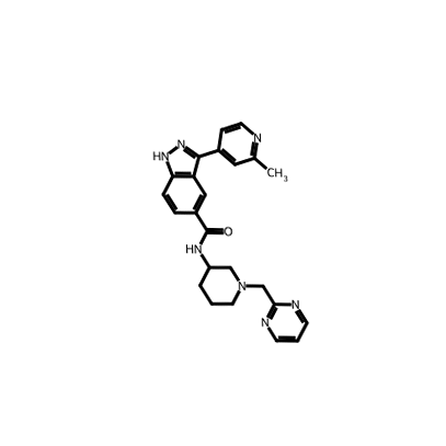 Cc1cc(-c2n[nH]c3ccc(C(=O)NC4CCCN(Cc5ncccn5)C4)cc23)ccn1